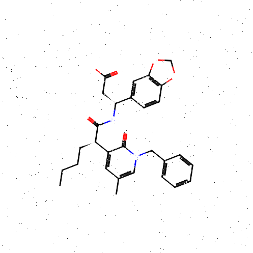 CCCC[C@@H](C(=O)N[C@@H](CC(=O)O)c1ccc2c(c1)OCO2)c1cc(C)cn(Cc2ccccc2)c1=O